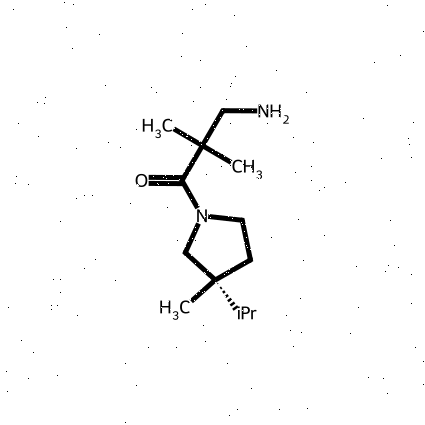 CC(C)[C@@]1(C)CCN(C(=O)C(C)(C)CN)C1